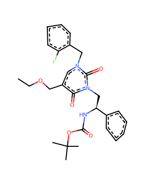 CCOCc1cn(Cc2ccccc2F)c(=O)n(C[C@H](NC(=O)OC(C)(C)C)c2ccccc2)c1=O